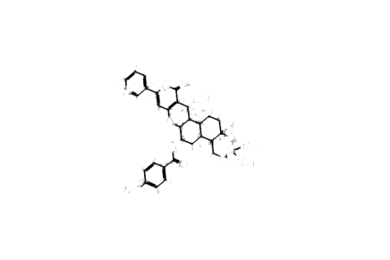 CC(C)(C)[Si]1(C(C)(C)C)OC[C@@]2(C)C3C[C@H](OC(=O)c4ccc(C#N)cc4)[C@@]4(C)Oc5cc(-c6cccnc6)oc(=O)c5[C@H](O)C4[C@@]3(C)CC[C@@H]2O1